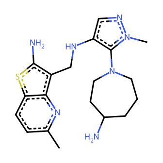 Cc1ccc2sc(N)c(CNc3cnn(C)c3N3CCCC(N)CC3)c2n1